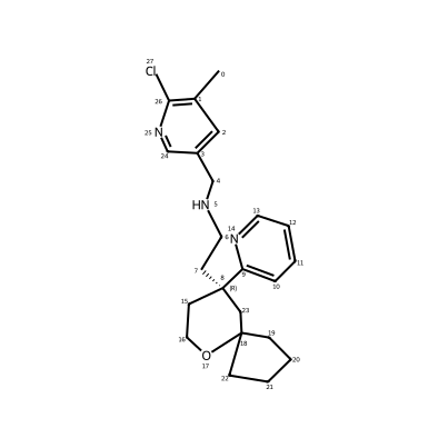 Cc1cc(CNCC[C@@]2(c3ccccn3)CCOC3(CCCC3)C2)cnc1Cl